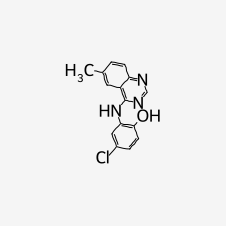 Cc1ccc2ncnc(Nc3cc(Cl)ccc3O)c2c1